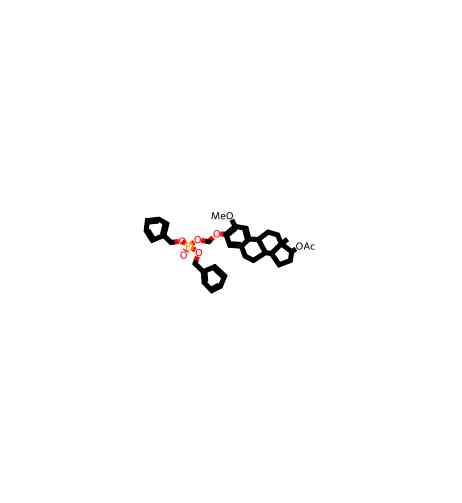 COc1cc2c(cc1OCOP(=O)(OCc1ccccc1)OCc1ccccc1)CCC1C2CCC2(C)C(OC(C)=O)CCC12